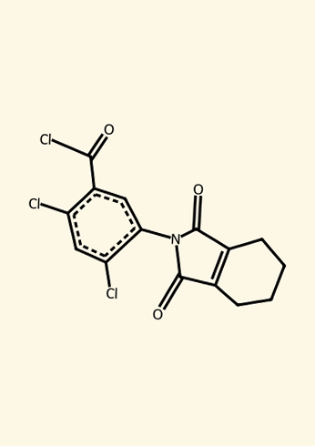 O=C(Cl)c1cc(N2C(=O)C3=C(CCCC3)C2=O)c(Cl)cc1Cl